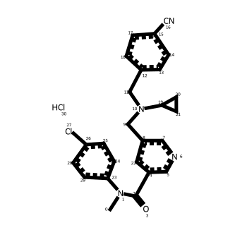 CN(C(=O)c1cncc(CN(Cc2ccc(C#N)cc2)C2CC2)c1)c1ccc(Cl)cc1.Cl